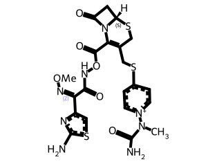 CO/N=C(\C(=O)NOC(=O)C1=C(CSc2cc[n+](N(C)C(N)=O)cc2)CS[C@H]2CC(=O)N12)c1csc(N)n1